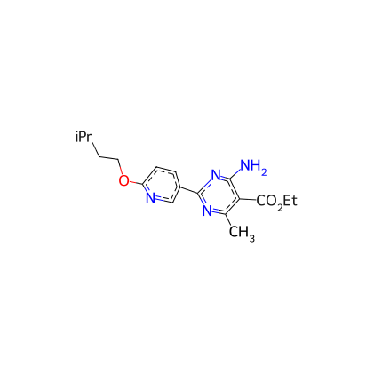 CCOC(=O)c1c(C)nc(-c2ccc(OCCC(C)C)nc2)nc1N